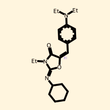 CCN1C(=O)/C(=C\c2ccc(N(CC)CC)cc2)OC1=NC1CCCCC1